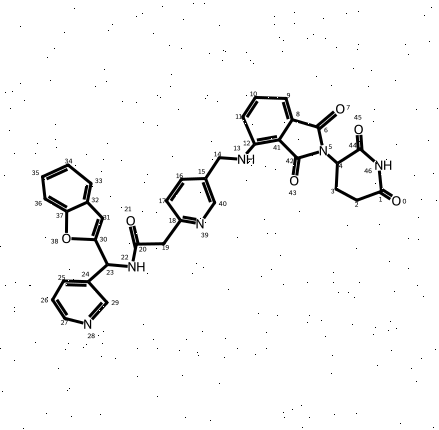 O=C1CCC(N2C(=O)c3cccc(NCc4ccc(CC(=O)NC(c5cccnc5)c5cc6ccccc6o5)nc4)c3C2=O)C(=O)N1